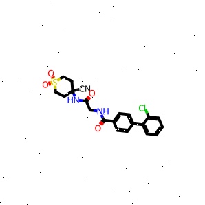 N#CC1(NC(=O)CNC(=O)c2ccc(-c3ccccc3Cl)cc2)CCS(=O)(=O)CC1